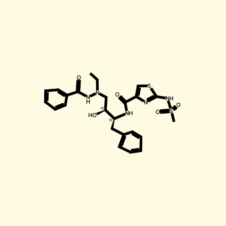 CCN(C[C@H](O)[C@H](Cc1ccccc1)NC(=O)c1csc(NS(C)(=O)=O)n1)NC(=O)c1ccccc1